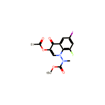 CCC(=O)Oc1cn(N(C)C(=O)OC(C)(C)C)c2c(F)cc(I)cc2c1=O